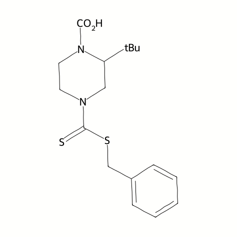 CC(C)(C)C1CN(C(=S)SCc2ccccc2)CCN1C(=O)O